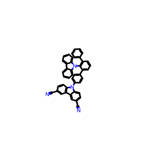 N#Cc1ccc2c(c1)c1cc(C#N)ccc1n2-c1ccc(-c2cccc(-c3ccccc3)c2-n2c3ccccc3c3ccccc32)cc1